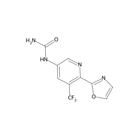 NC(=O)Nc1cnc(-c2ncco2)c(C(F)(F)F)c1